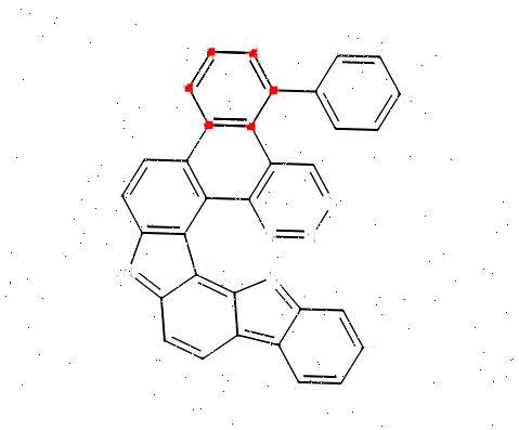 c1ccc(-c2ccccc2-c2cnnnc2-c2c(-c3ccccc3)ccc3c2-c2c4c(ccc2=N3)=c2ccccc2=N4)cc1